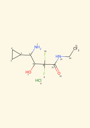 Cl.NC(C1CC1)C(O)C(F)(F)C(=O)NCC(F)(F)F